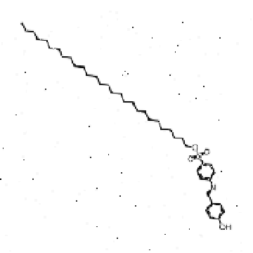 CCCCCCCCCCCCCCCCCCCCCCCCCCCCOS(=O)(=O)c1ccc(N=Cc2ccc(O)cc2)cc1